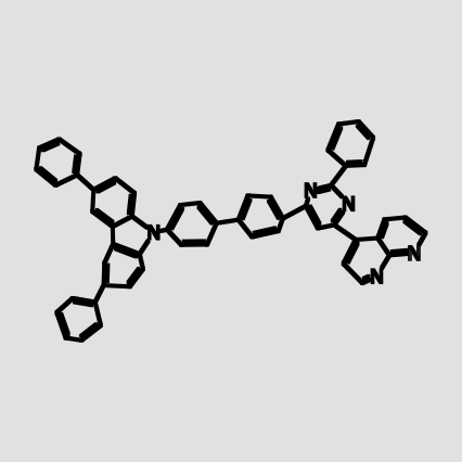 c1ccc(-c2ccc3c(c2)c2cc(-c4ccccc4)ccc2n3-c2ccc(-c3ccc(-c4cc(-c5ccnc6ncccc56)nc(-c5ccccc5)n4)cc3)cc2)cc1